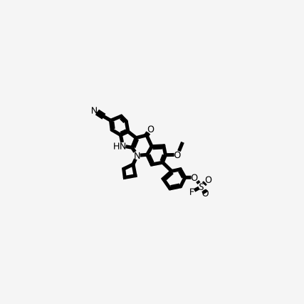 COc1cc2c(=O)c3c4ccc(C#N)cc4[nH]c3n(C3CCC3)c2cc1-c1cccc(OS(=O)(=O)F)c1